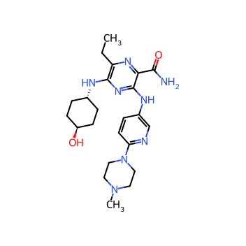 CCc1nc(C(N)=O)c(Nc2ccc(N3CCN(C)CC3)nc2)nc1N[C@H]1CC[C@H](O)CC1